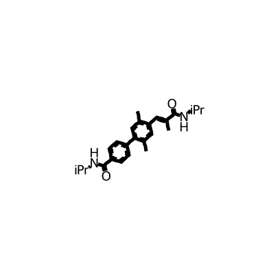 C/C(=C\c1cc(C)c(-c2ccc(C(=O)NC(C)C)cc2)cc1C)C(=O)NC(C)C